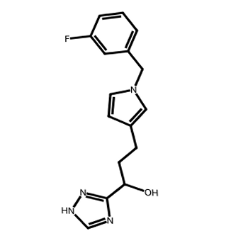 OC(CCc1ccn(Cc2cccc(F)c2)c1)c1nc[nH]n1